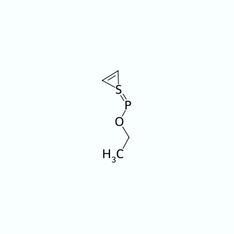 CCOP=S1C=C1